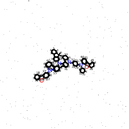 CC1(C)c2ccccc2-c2ccc(-n3c4c(ccc5c4c4ccccc4n5-c4ccc(N(c5ccccc5)c5cccc6c5oc5ccccc56)cc4)c4ccc5c(c6ccccc6n5-c5ccc6oc7ccccc7c6c5)c43)cc21